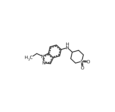 CCn1ncc2cc(NC3CCS(=O)(=O)CC3)ccc21